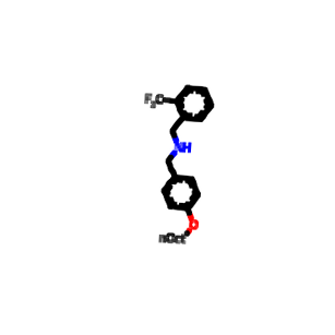 CCCCCCCCOc1ccc(CNCc2ccccc2C(F)(F)F)cc1